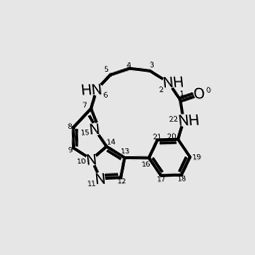 O=C1NCCCNc2ccn3ncc(c3n2)-c2cccc(c2)N1